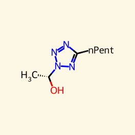 CCCCCc1nnn([C@@H](C)O)n1